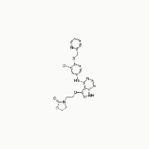 O=C1OCCN1CCOc1n[nH]c2ncnc(Nc3ccc(OCc4ccccn4)c(Cl)c3)c12